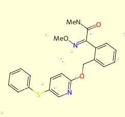 CNC(=O)C(=NOC)c1ccccc1COc1ccc(Sc2ccccc2)cn1